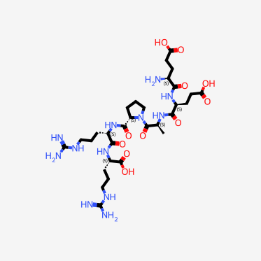 C[C@H](NC(=O)[C@H](CCC(=O)O)NC(=O)[C@@H](N)CCC(=O)O)C(=O)N1CCC[C@H]1C(=O)N[C@@H](CCCNC(=N)N)C(=O)N[C@@H](CCCNC(=N)N)C(=O)O